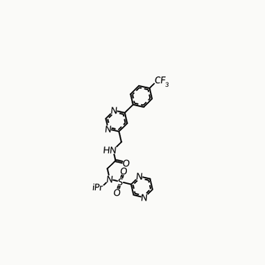 CC(C)N(CC(=O)NCc1cc(-c2ccc(C(F)(F)F)cc2)ncn1)S(=O)(=O)c1cnccn1